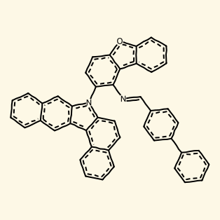 C(=N\c1c(-n2c3cc4ccccc4cc3c3c4ccccc4ccc32)ccc2oc3ccccc3c12)/c1ccc(-c2ccccc2)cc1